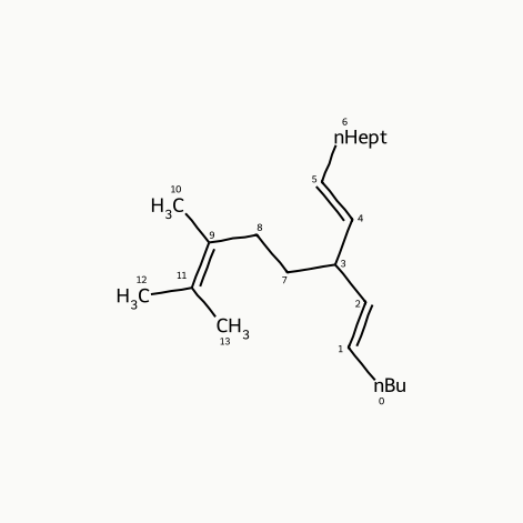 CCCCC=CC(C=CCCCCCCC)CCC(C)=C(C)C